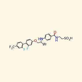 CC(C)C(COc1ccc(-c2ccc(C(F)(F)F)cc2F)c(F)c1)Nc1ccc(C(=O)NCCS(=O)(=O)O)cc1